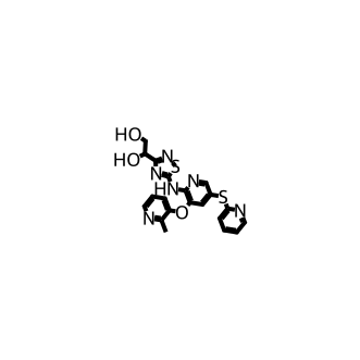 Cc1ncccc1Oc1cc(Sc2ccccn2)cnc1Nc1nc(C(O)CO)ns1